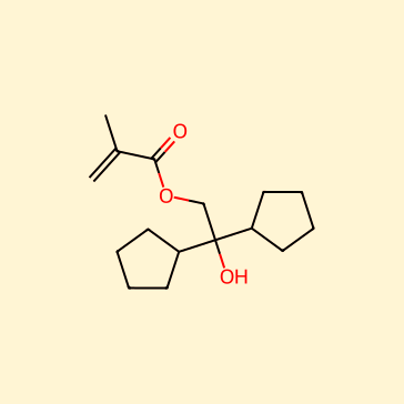 C=C(C)C(=O)OCC(O)(C1CCCC1)C1CCCC1